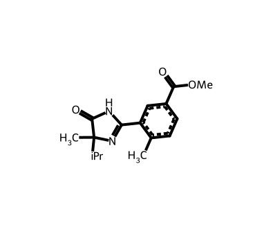 COC(=O)c1ccc(C)c(C2=NC(C)(C(C)C)C(=O)N2)c1